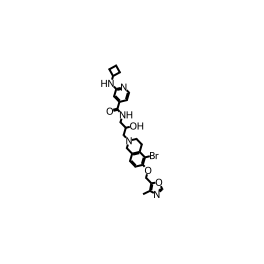 Cc1ncoc1COc1ccc2c(c1Br)CCN(CC(O)CNC(=O)c1ccnc(NC3CCC3)c1)C2